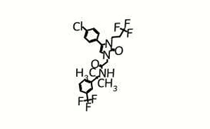 CC(C)(NC(=O)Cn1cc(-c2ccc(Cl)cc2)n(CCC(F)(F)F)c1=O)c1cccc(C(F)(F)F)c1